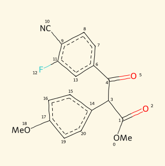 COC(=O)C(C(=O)c1ccc(C#N)c(F)c1)c1ccc(OC)cc1